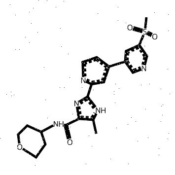 Cc1[nH]c(-c2cc(-c3cncc(S(C)(=O)=O)c3)ccn2)nc1C(=O)NC1CCOCC1